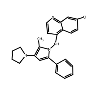 Cc1c(N2CCCC2)cc(-c2ccccc2)n1Nc1ccnc2cc(Cl)ccc12